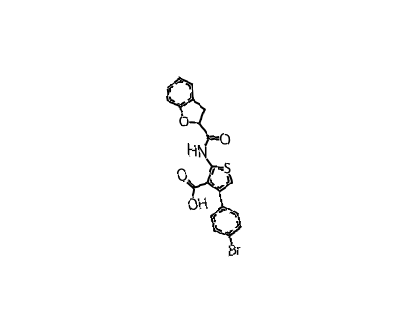 O=C(O)c1c(-c2ccc(Br)cc2)csc1NC(=O)C1Cc2ccccc2O1